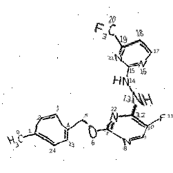 Cc1ccc(COc2ncc(F)c(NNc3nccc(C(F)(F)F)n3)n2)cc1